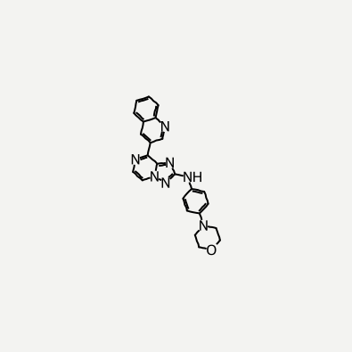 c1ccc2ncc(-c3nccn4nc(Nc5ccc(N6CCOCC6)cc5)nc34)cc2c1